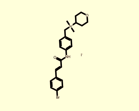 C[N+](C)(Cc1ccc(NC(=O)C=Cc2ccc(Br)cc2)cc1)C1CCOCC1.[I-]